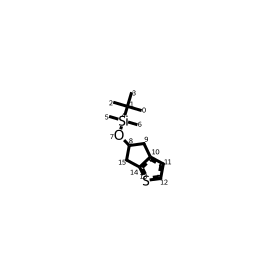 CC(C)(C)[Si](C)(C)OC1Cc2ccsc2C1